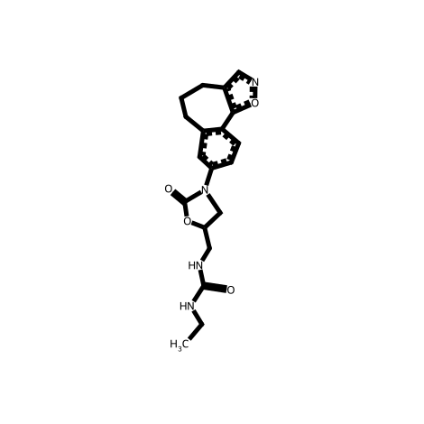 CCNC(=O)NCC1CN(c2ccc3c(c2)CCCc2cnoc2-3)C(=O)O1